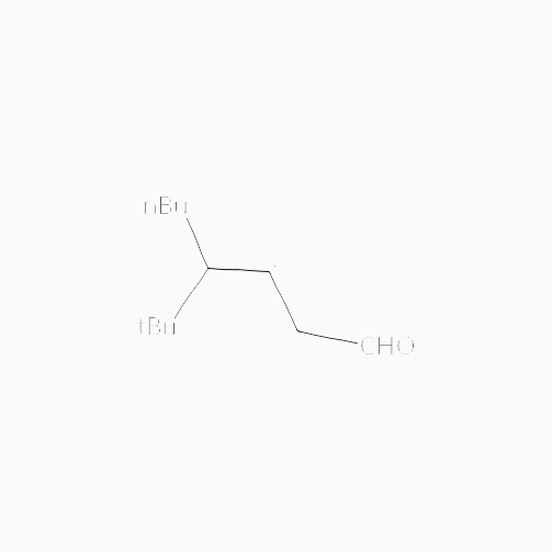 CCCCC(CCC=O)C(C)(C)C